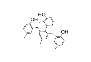 Cc1ccc(O)c(Cc2cc(C)cc(Cc3cc(C)ccc3O)c2-c2cccc(O)c2C)c1